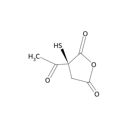 CC(=O)[C@@]1(S)CC(=O)OC1=O